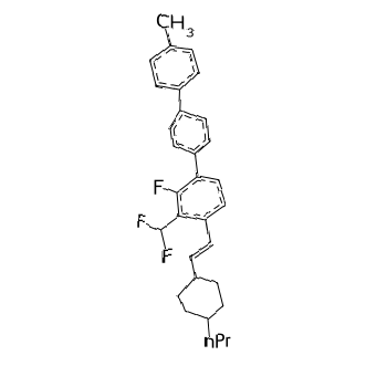 CCCC1CCC(/C=C/c2ccc(-c3ccc(-c4ccc(C)cc4)cc3)c(F)c2C(F)F)CC1